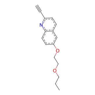 C#Cc1ccc2cc(OCCOCCC)ccc2n1